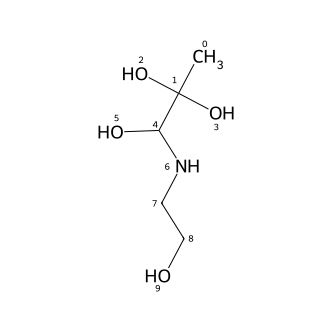 CC(O)(O)C(O)NCCO